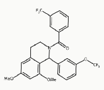 COc1cc2c(c(OC)c1)C(c1cccc(OC(F)(F)F)c1)N(C(=O)c1cccc(C(F)(F)F)c1)CC2